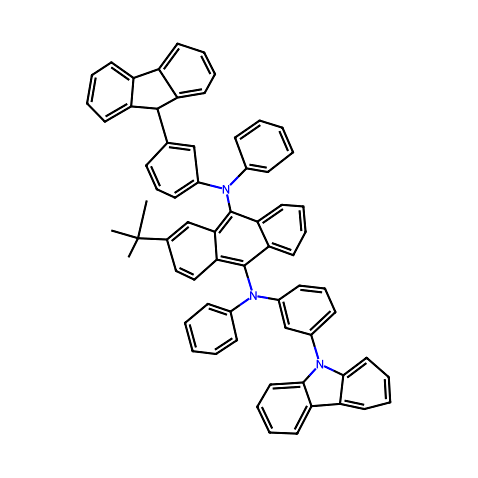 CC(C)(C)c1ccc2c(N(c3ccccc3)c3cccc(-n4c5ccccc5c5ccccc54)c3)c3ccccc3c(N(c3ccccc3)c3cccc(C4c5ccccc5-c5ccccc54)c3)c2c1